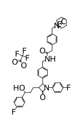 O=C(Cc1ccc(C[N+]23CCC(CC2)CC3)cc1)NCc1ccc(C2C(CCC(O)c3ccc(F)cc3)C(=O)N2c2ccc(F)cc2)cc1.O=C([O-])C(F)(F)F